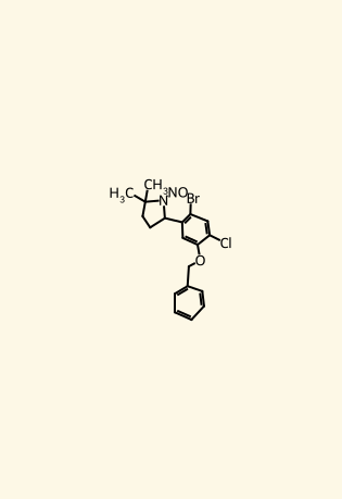 CC1(C)CCC(c2cc(OCc3ccccc3)c(Cl)cc2Br)N1N=O